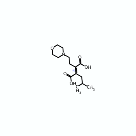 CC(C)C/C(C(=O)O)=C(/CCN1CCOCC1)C(=O)O